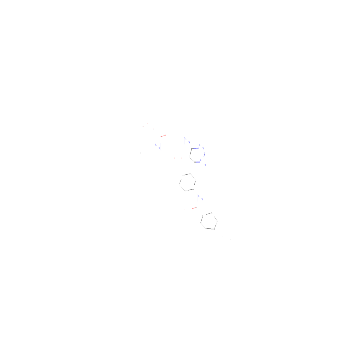 Cc1c(NC(=O)c2ccc(C3CC3)cc2F)cc(F)cc1-c1ncnc(N)c1OCCN(C)C(=O)C1CO1